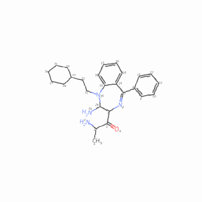 CC(N)C(=O)C1N=C(c2ccccc2)c2ccccc2N(CCC2CCCCC2)C1N